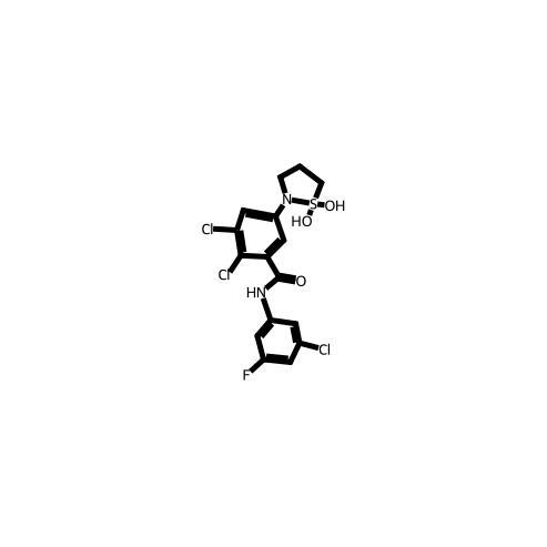 O=C(Nc1cc(F)cc(Cl)c1)c1cc(N2CCCS2(O)O)cc(Cl)c1Cl